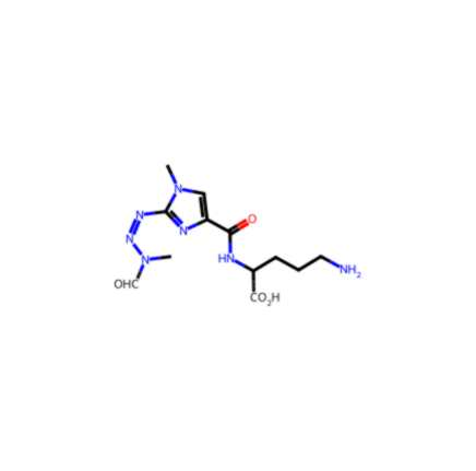 CN(C=O)/N=N\c1nc(C(=O)NC(CCCN)C(=O)O)cn1C